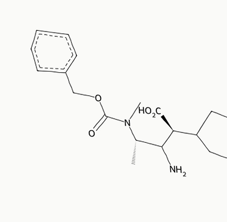 C[C@@H](C(N)[C@@H](C(=O)O)C1CCCCC1)N(C)C(=O)OCc1ccccc1